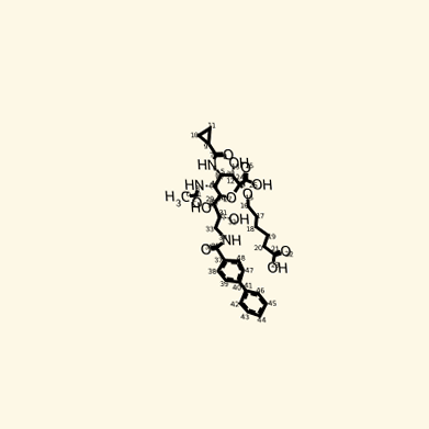 CC(=O)N[C@@H]1[C@@H](NC(=O)C2CC2)[C@H](O)[C@](OCCCCCC(=O)O)(C(=O)O)O[C@H]1[C@H](O)[C@H](O)CNC(=O)c1ccc(-c2ccccc2)cc1